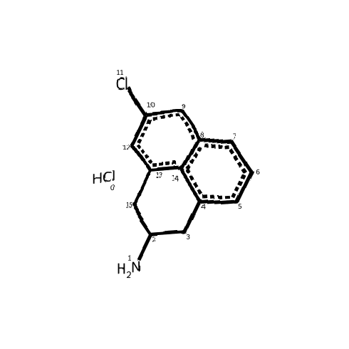 Cl.NC1Cc2cccc3cc(Cl)cc(c23)C1